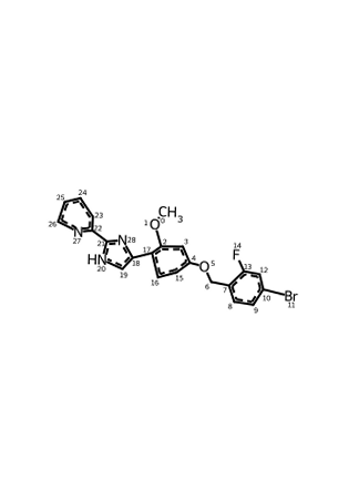 COc1cc(OCc2ccc(Br)cc2F)ccc1-c1c[nH]c(-c2ccccn2)n1